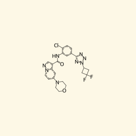 O=C(Nc1cc(-c2nnn(C3CC(F)(F)C3)n2)ccc1Cl)c1cnn2ccc(N3CCOCC3)cc12